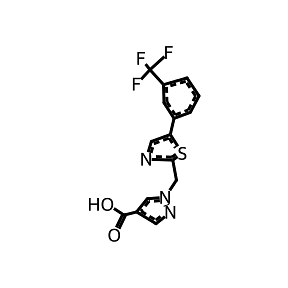 O=C(O)c1cnn(Cc2ncc(-c3cccc(C(F)(F)F)c3)s2)c1